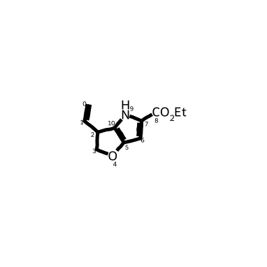 C=CC1COc2cc(C(=O)OCC)[nH]c21